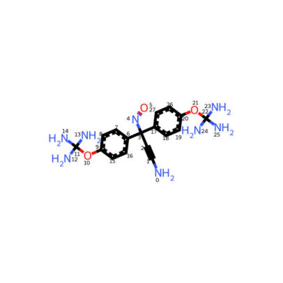 NC#CC(N=O)(c1ccc(OC(N)(N)N)cc1)c1ccc(OC(N)(N)N)cc1